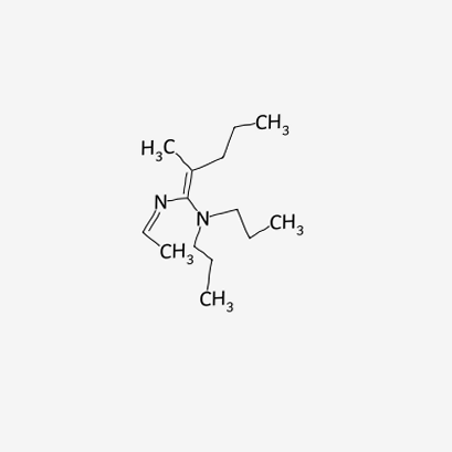 C/C=N\C(=C(/C)CCC)N(CCC)CCC